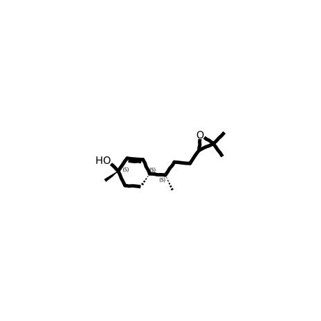 C[C@@H](CCC1OC1(C)C)[C@H]1C=C[C@@](C)(O)CC1